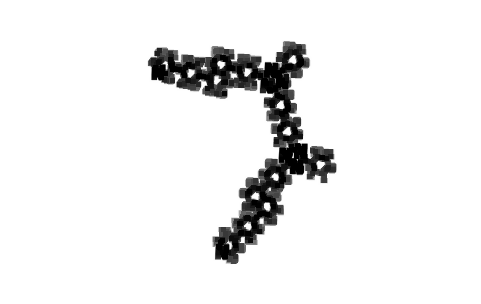 c1ccc(-c2nc(-c3ccc(-c4ccc(-c5nc(-c6ccccc6)nc(-c6ccc(-c7cccc8c(-c9ccc(-c%10cccnc%10)cc9)cccc78)cc6)n5)cc4)cc3)nc(-c3ccc(-c4cccc5c(-c6ccc(-c7ccncc7)cc6)cccc45)cc3)n2)cc1